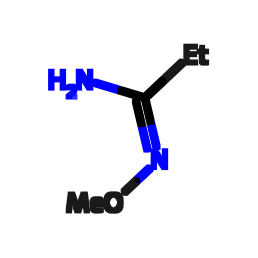 CC/C(N)=N/OC